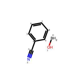 BO.N#Cc1ccccc1